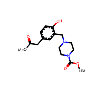 COC(=O)Cc1ccc(O)c(CN2CCN(C(=O)OC(C)(C)C)CC2)c1